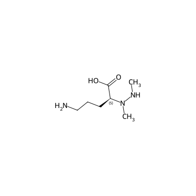 CNN(C)[C@@H](CCCN)C(=O)O